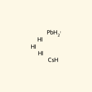 I.I.I.[CsH].[PbH2]